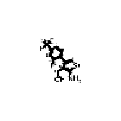 Nc1scc(-c2ccc(C(F)(F)F)cc2F)c1CO